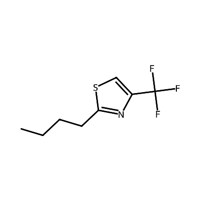 CCCCc1nc(C(F)(F)F)cs1